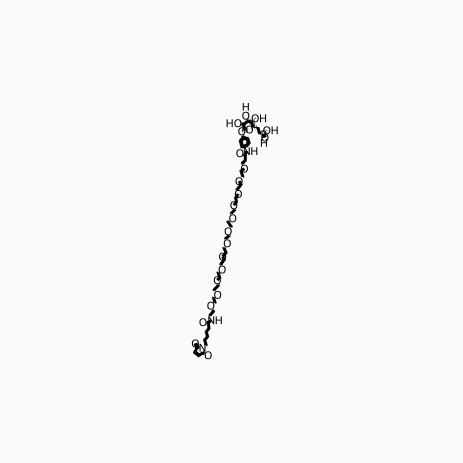 O=C(CCCCCN1C(=O)C=CC1=O)NCCOCCOCCOCCOCCOCCOCCOCCOCCOCCOCCOCCOCCC(=O)Nc1ccc(O[C@H]2O[C@H](CC[PH](=O)O)[C@@H](O)[C@H](O)[C@@H]2O)cc1